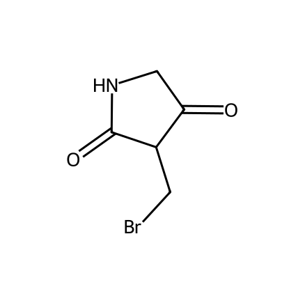 O=C1CNC(=O)C1CBr